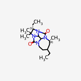 CCC1CCN2C(=O)N3C4C2N(C(=O)N4[C@@H](CC)C3(C)C)[C@H](C)C1